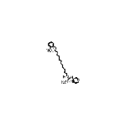 N#CN/C(=N\c1cccnc1)NCCCCCCCCCCCCOc1ccccc1[N+](=O)[O-]